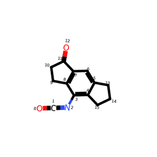 O=C=Nc1c2c(cc3c1CCC3=O)CCC2